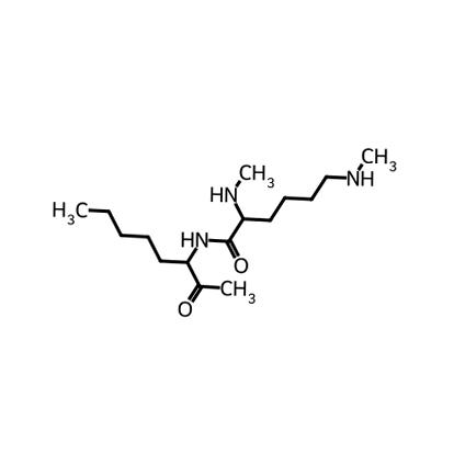 CCCCCC(NC(=O)C(CCCCNC)NC)C(C)=O